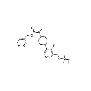 CN(C(=O)OCc1ccccc1)C1CCN(c2cccc(CO[Si](C)(C)C(C)(C)C)c2F)CC1